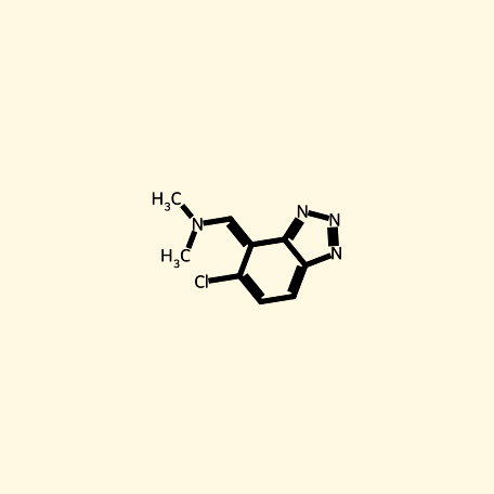 CN(C)C=c1c(Cl)ccc2c1=NN=N2